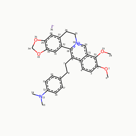 COc1ccc2c(CCc3ccc(N(C)C)cc3)c3[n+](cc2c1OC)CCc1cc2c(cc1-3)OCO2.[I-]